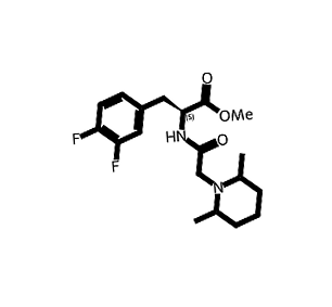 COC(=O)[C@H](Cc1ccc(F)c(F)c1)NC(=O)CN1C(C)CCCC1C